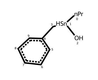 CC[CH2][SnH]([OH])[CH2]c1ccccc1